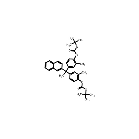 Cc1cc(C(C)(c2ccc(OC(=O)OC(C)(C)C)c(C)c2)c2ccc3ccccc3c2)ccc1OC(=O)OC(C)(C)C